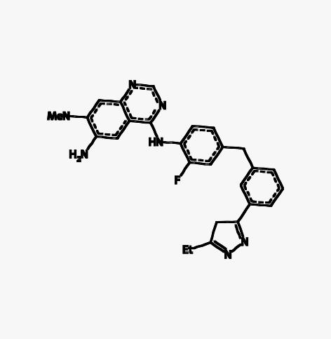 CCC1=NN=C(c2cccc(Cc3ccc(Nc4ncnc5cc(NC)c(N)cc45)c(F)c3)c2)C1